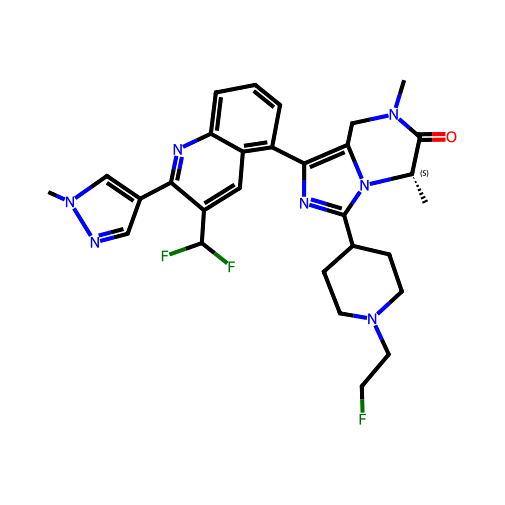 C[C@H]1C(=O)N(C)Cc2c(-c3cccc4nc(-c5cnn(C)c5)c(C(F)F)cc34)nc(C3CCN(CCF)CC3)n21